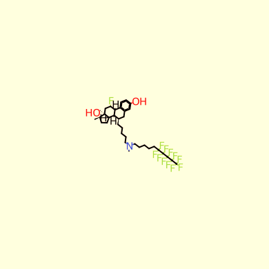 CN(CCCCC[C@@H]1Cc2cc(O)ccc2[C@@H]2[C@@H]1[C@@H]1CC[C@](C)(O)[C@@]1(C)C[C@@H]2F)CCCCCC(F)(F)C(F)(F)C(F)(F)C(F)(F)C(F)(F)F